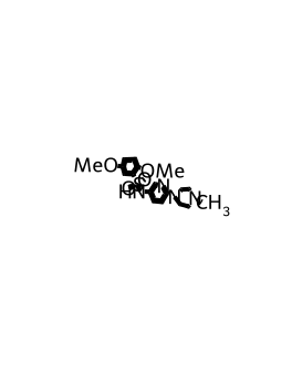 COc1ccc(OC)c(S(=O)(=O)Nc2ccc(N3CCN(C)CC3)nc2)c1